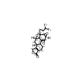 CC(C(F)F)[C@]12O[C@H]1[C@@H]1O[C@@]13[C@@]1(C)CCC4=C(COC4=O)[C@@H]1C[C@@H]1O[C@@]13C2(F)F